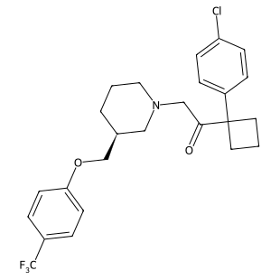 O=C(CN1CCC[C@H](COc2ccc(C(F)(F)F)cc2)C1)C1(c2ccc(Cl)cc2)CCC1